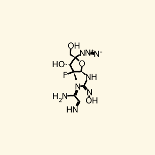 C[C@]1(F)[C@H](NC(=N/O)/N=C(/N)C=N)O[C@@](CO)(N=[N+]=[N-])[C@H]1O